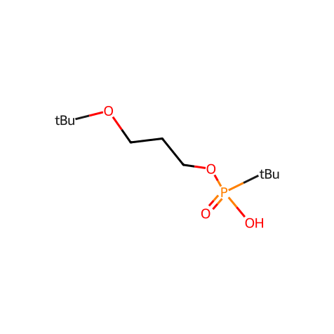 CC(C)(C)OCCCOP(=O)(O)C(C)(C)C